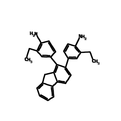 CCc1cc(-c2ccc3c(c2-c2ccc(N)c(CC)c2)Cc2ccccc2-3)ccc1N